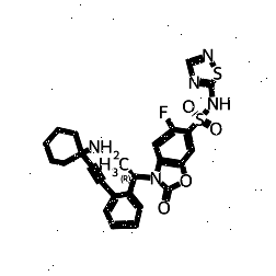 C[C@H](c1ccccc1C#CC1(N)CCCCC1)n1c(=O)oc2cc(S(=O)(=O)Nc3ncns3)c(F)cc21